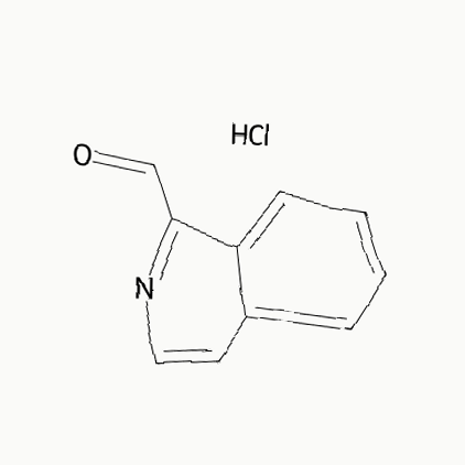 Cl.O=Cc1nccc2ccccc12